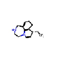 FC(F)(F)C[C@@H]1C=CN2CCNCC3=CCCC1=C32